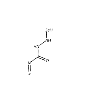 O=C(N=S)NN[SeH]